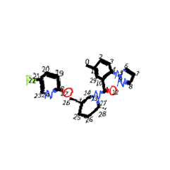 Cc1ccc(-n2cccn2)c(C(=O)N2C[C@H](COc3ccc(F)cn3)CC[C@H]2C)c1